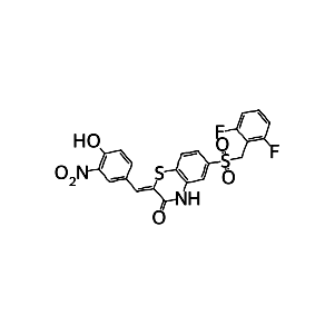 O=C1Nc2cc(S(=O)(=O)Cc3c(F)cccc3F)ccc2SC1=Cc1ccc(O)c([N+](=O)[O-])c1